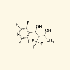 CC(O)C(C(O)c1c(F)c(F)nc(F)c1F)C(F)(F)F